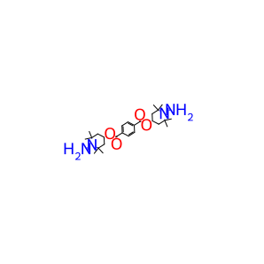 CC1(C)CC(OC(=O)c2ccc(C(=O)OC3CC(C)(C)N(N)C(C)(C)C3)cc2)CC(C)(C)N1N